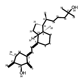 C=C1/C(=C/C=C2\CCC[C@]3(C)[C@@H]([C@@H](C)CCCC(C)(C)O)CC[C@@H]23)C[C@@H](C)C(=C)[C@@H]1O